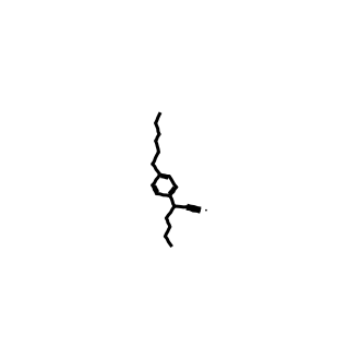 [C]#CC(CCCC)c1ccc(CCCCCC)cc1